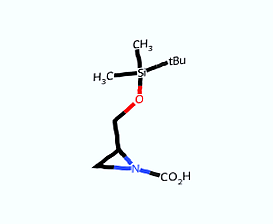 CC(C)(C)[Si](C)(C)OCC1CN1C(=O)O